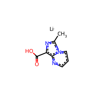 Cc1nc(C(=O)O)c2ncccn12.[Li]